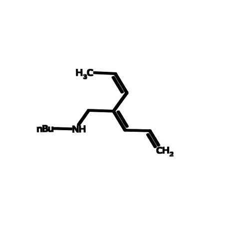 C=C/C=C(\C=C/C)CNCCCC